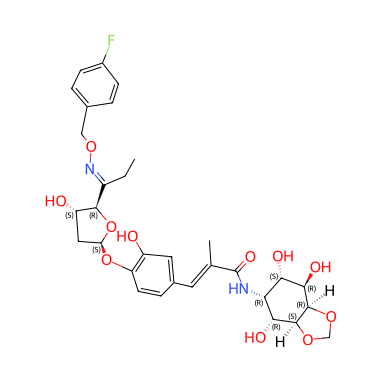 CCC(=NOCc1ccc(F)cc1)[C@H]1O[C@@H](Oc2ccc(C=C(C)C(=O)N[C@@H]3[C@H](O)[C@@H](O)[C@H]4OCO[C@H]4[C@@H]3O)cc2O)C[C@@H]1O